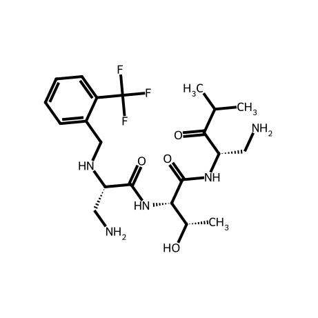 CC(C)C(=O)[C@H](CN)NC(=O)[C@@H](NC(=O)[C@H](CN)NCc1ccccc1C(F)(F)F)[C@H](C)O